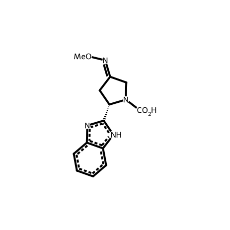 CO/N=C1\C[C@@H](c2nc3ccccc3[nH]2)N(C(=O)O)C1